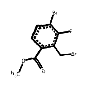 COC(=O)c1ccc(Br)c(F)c1CBr